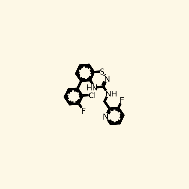 Fc1cccnc1CNC1=NSc2cccc(-c3cccc(F)c3Cl)c2N1